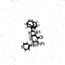 CCCn1c(Nc2ccncc2)nc2nc(C34CC5CC(CC(C5)C3)C4)[nH]c2c1=O